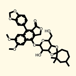 COc1cc2c(OC3OC(CO)C4OC5(CCCC(C)CC5(C)C)OC4C3O)c3c(c(-c4ccc5c(c4)OCO5)c2cc1OC)C(=O)OC3